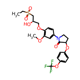 CCS(=O)(=O)C[C@H](O)COc1ccc(N2CCC(Oc3ccc(OC(F)(F)F)cc3)C2=O)cc1OC